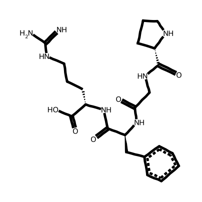 N=C(N)NCCC[C@H](NC(=O)[C@H](Cc1ccccc1)NC(=O)CNC(=O)[C@@H]1CCCN1)C(=O)O